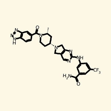 C[C@@H]1C[C@H](N2Cc3cnc(Nc4cc(C(N)=O)cc(C(F)(F)F)c4)nc3C2)CCN1C(=O)c1ccc2[nH]nnc2c1